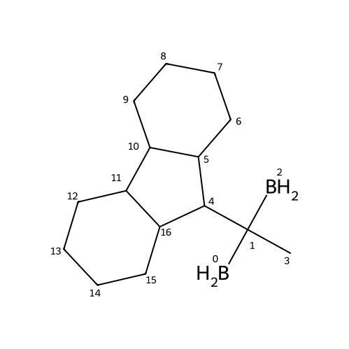 BC(B)(C)C1C2CCCCC2C2CCCCC21